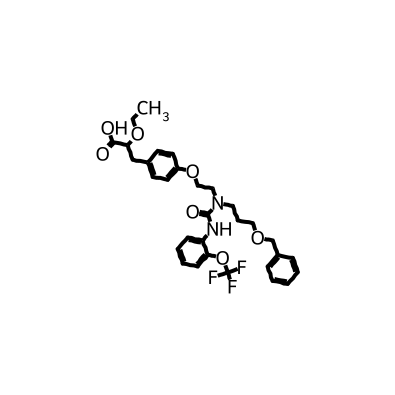 CCOC(Cc1ccc(OCCN(CCCOCc2ccccc2)C(=O)Nc2ccccc2OC(F)(F)F)cc1)C(=O)O